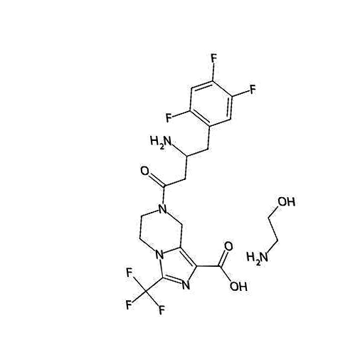 NC(CC(=O)N1CCn2c(C(F)(F)F)nc(C(=O)O)c2C1)Cc1cc(F)c(F)cc1F.NCCO